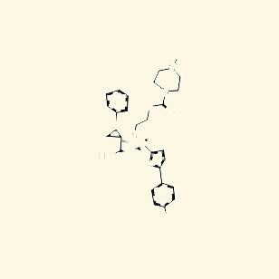 CN1CCN(C(=O)OCCN([C@]2(C(=O)O)C[C@H]2c2ccccc2)S(=O)(=O)c2ccc(-c3ccc(Cl)cc3)s2)CC1